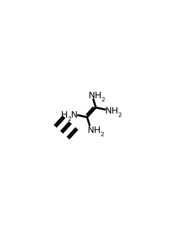 C=C.C=C.C=C.NC(N)=C(N)N